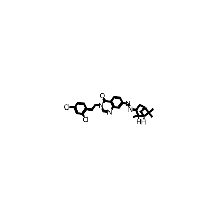 C[C@@H]1C(N=Nc2ccc3c(=O)n(CCc4ccc(Cl)cc4Cl)cnc3c2)CC2C[C@@H]1C2(C)C